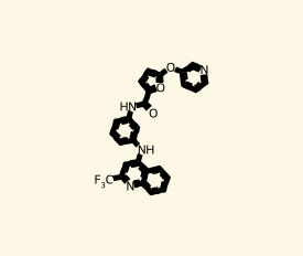 O=C(Nc1cccc(Nc2cc(C(F)(F)F)nc3ccccc23)c1)c1ccc(Oc2cccnc2)o1